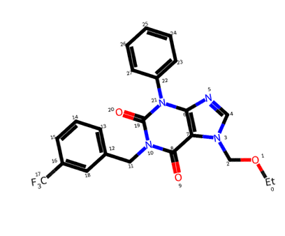 CCOCn1cnc2c1c(=O)n(Cc1cccc(C(F)(F)F)c1)c(=O)n2-c1ccccc1